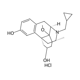 COC12[C@H](C)CC(O)C[C@@]13CCN(CC1CC1)[C@@H]2Cc1ccc(O)cc13.Cl